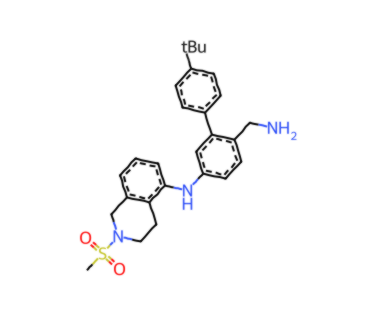 CC(C)(C)c1ccc(-c2cc(Nc3cccc4c3CCN(S(C)(=O)=O)C4)ccc2CN)cc1